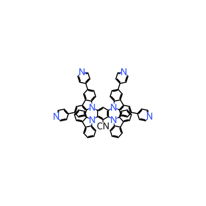 N#Cc1c(-n2c3ccccc3c3ccccc32)c(-n2c3ccc(-c4ccncc4)cc3c3cc(-c4ccncc4)ccc32)cc(-n2c3ccc(-c4ccncc4)cc3c3cc(-c4ccncc4)ccc32)c1-n1c2ccccc2c2ccccc21